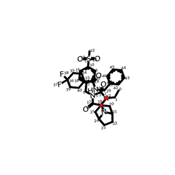 CCN1C(=O)N(Cc2ccc(S(C)(=O)=O)cc2)C(=O)C12CC1CCC(C2)N1CC[C@H](NC(=O)C1CCC(F)(F)CC1)c1ccccc1